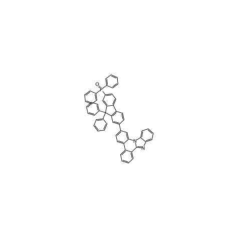 O=P(c1ccccc1)(c1ccccc1)c1ccc2c(c1)C(c1ccccc1)(c1ccccc1)c1cc(-c3ccc4c5ccccc5c5nc6ccccc6n5c4c3)ccc1-2